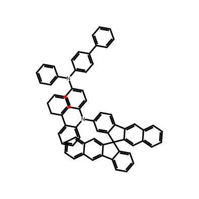 C1=CCCC(c2ccccc2N(c2ccc(N(c3ccccc3)c3ccc(-c4ccccc4)cc3)cc2)c2ccc3c(c2)C2(c4ccccc4-c4cc5ccccc5cc42)c2cc4ccccc4cc2-3)=C1